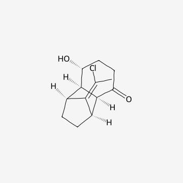 C/C(Cl)=C1/[C@H]2CC[C@@H]1[C@@H]1C(=O)CC[C@@H](O)[C@@H]12